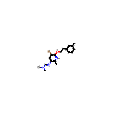 CCN(C)/C=N/c1cc(Br)c(OCCc2cccc(C)c2)nc1C